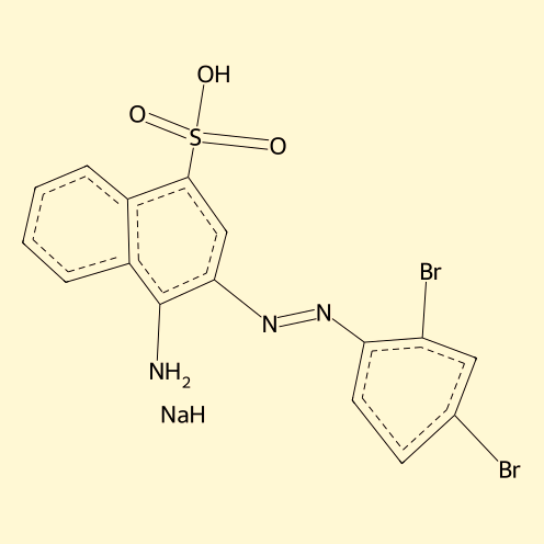 Nc1c(/N=N/c2ccc(Br)cc2Br)cc(S(=O)(=O)O)c2ccccc12.[NaH]